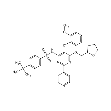 COc1ccccc1Oc1c(NS(=O)(=O)c2ccc(C(C)(C)C)cc2)nc(-c2ccncc2)nc1OCC1CCCO1